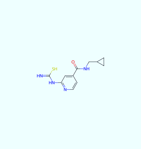 N=C(S)Nc1cc(C(=O)NCC2CC2)ccn1